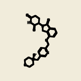 O=C1CCC(N2Cc3c(OCc4ccc(C[N+]5([O-])CCOCC5)cn4)cccc3C2=O)C(=O)N1